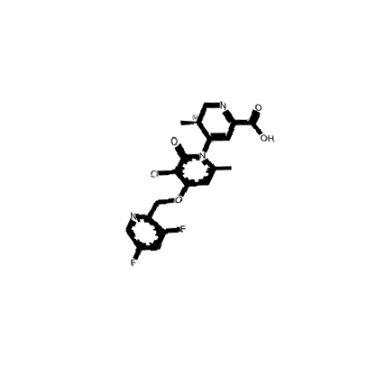 Cc1cc(OCc2ncc(F)cc2F)c(Cl)c(=O)n1C1=CC(C(=O)O)=NC[C@@H]1C